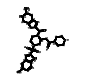 NC1Cc2nc(C(=O)N3CCN(S(=O)(=O)c4cc5cc(Cl)ccc5[nH]4)CC3CC(=O)N3CCOCC3)sc2CN1